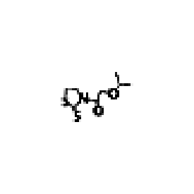 CC(C)OCC(=O)N1CCSC1=S